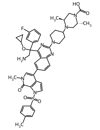 Cc1ccc(S(=O)(=O)n2ccc3c(-c4ccc5nc(N6CCC(N7C[C@@H](C)N(C(=O)O)C[C@@H]7C)CC6)nc(C(CN)(OC6CC6)c6cccc(F)c6)c5c4)cn(C)c(=O)c32)cc1